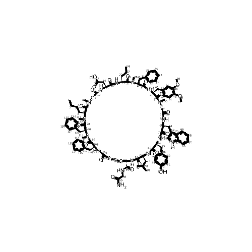 CCCC[C@H]1C(=O)N(C)CC(=O)N[C@@H](CC(=O)O)C(=O)N[C@@H](CCC)C(=O)N(C)C(Cc2ccccc2)C(=O)N[C@@H](Cc2ccc(OC)c(OC)c2)C(=O)N(C)CC(=O)N[C@@H](Cc2c[nH]c3ccccc23)C(=O)N[C@@H](Cc2ccc(O)cc2)C(=O)N[C@@H](CC(C)C)C(=O)N[C@H](C(=O)NCC(N)=O)CSCC(=O)N[C@@H](Cc2ccccc2)C(=O)N(C)[C@@H](Cc2ccccc2)C(=O)N1C